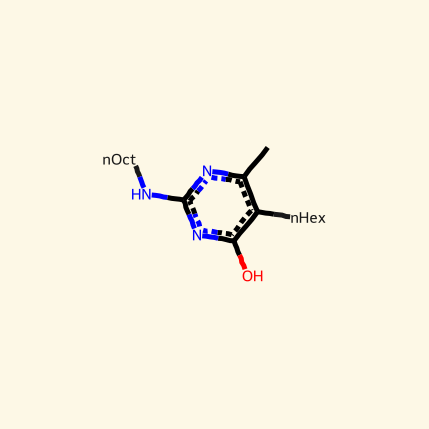 CCCCCCCCNc1nc(C)c(CCCCCC)c(O)n1